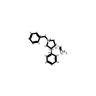 C=C[C@H]1CN(Cc2ccccc2)C[C@@H]1c1ccccc1